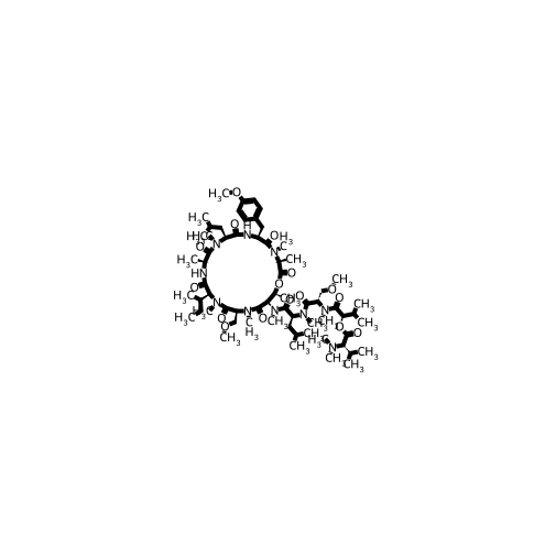 CCC(C)[C@H]1C(=O)N[C@@H](C)C(=O)N(C)[C@@H](CC(C)C)C(=O)N[C@@H](Cc2ccc(OC)cc2)C(=O)N(C)[C@@H](C)C(=O)O[C@H](C)[C@H](N(C)C(=O)[C@H](CC(C)C)N(C)C(=O)[C@H](COC)N(C)C(=O)[C@@H](OC(=O)[C@H](C(C)C)N(C)C)C(C)C)C(=O)N(C)[C@@H](COC)C(=O)N1C